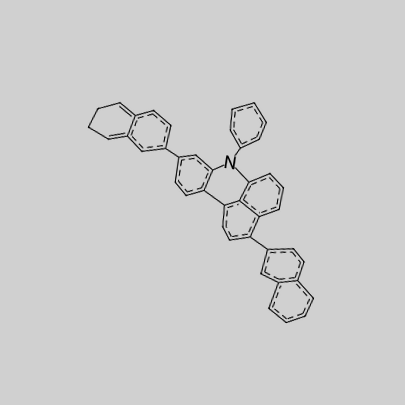 C1=c2ccc(-c3ccc4c(c3)N(c3ccccc3)c3cccc5c(-c6ccc7ccccc7c6)ccc-4c35)cc2=CCC1